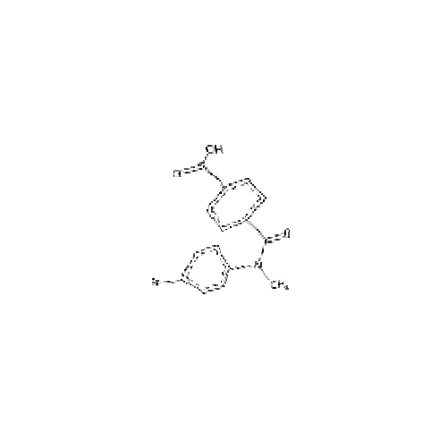 CN(C(=O)c1ccc(C(=O)O)cc1)c1ccc(Br)cc1